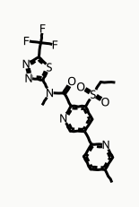 CCS(=O)(=O)c1cc(-c2ccc(C)cn2)cnc1C(=O)N(C)c1nnc(C(F)(F)F)s1